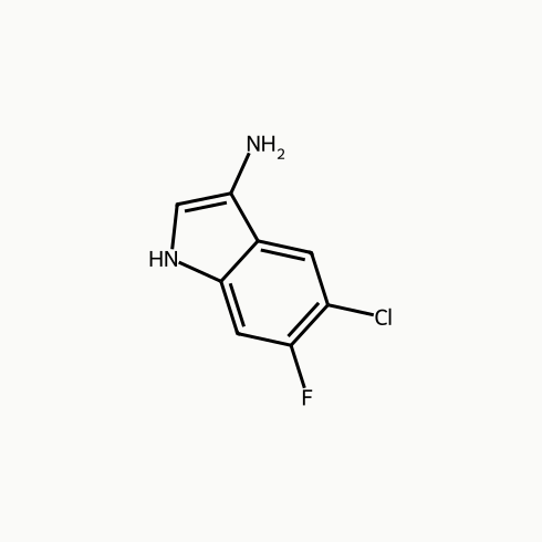 Nc1c[nH]c2cc(F)c(Cl)cc12